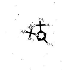 Cc1cc(C(C)(C)C)n(C(C)(C)C)c1